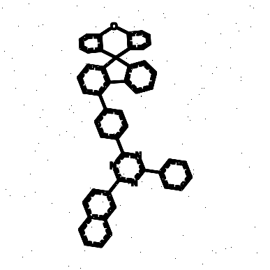 c1ccc(-c2nc(-c3ccc(-c4cccc5c4-c4ccccc4C54c5ccccc5Oc5ccccc54)cc3)nc(-c3ccc4ccccc4c3)n2)cc1